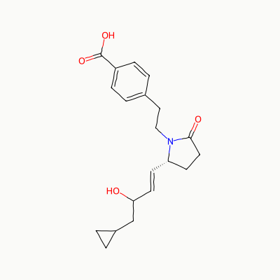 O=C(O)c1ccc(CCN2C(=O)CC[C@@H]2/C=C/C(O)CC2CC2)cc1